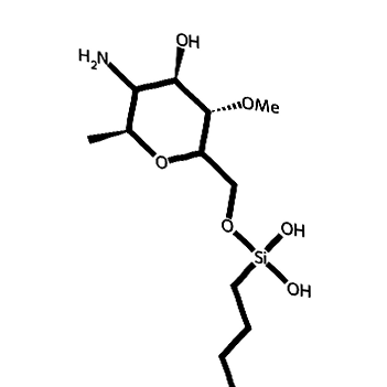 CO[C@@H]1C(CO[Si](O)(O)CCCN)O[C@@H](C)C(N)[C@H]1O